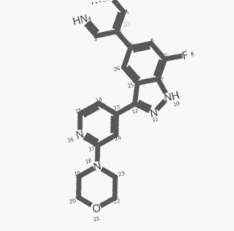 CN/C=C(\C=N)c1cc(F)c2[nH]nc(-c3ccnc(N4CCOCC4)c3)c2c1